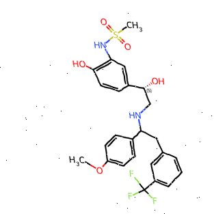 COc1ccc(C(Cc2cccc(C(F)(F)F)c2)NC[C@@H](O)c2ccc(O)c(NS(C)(=O)=O)c2)cc1